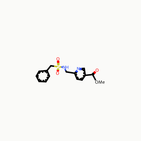 COC(=O)c1ccc(CNS(=O)(=O)Cc2ccccc2)nc1